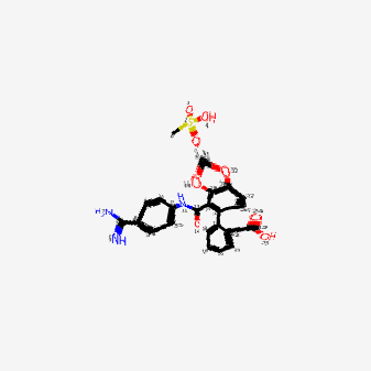 CS(=O)(=O)O.N=C(N)c1ccc(NC(=O)c2c(-c3ccccc3C(=O)O)ccc3c2OCO3)cc1